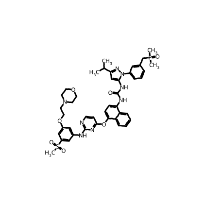 CC(C)c1cc(NC(=O)Nc2ccc(Oc3ccnc(Nc4cc(OCCN5CCOCC5)cc(S(C)(=O)=O)c4)n3)c3ccccc23)n(-c2cccc(CP(C)(C)=O)c2)n1